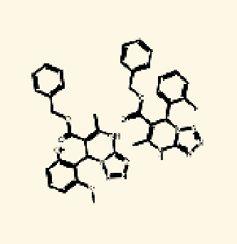 CC1=C(C(=O)OCc2ccccc2)C(c2ccccc2F)n2nnnc2N1.COc1cccc(O)c1C1C(C(=O)OCc2ccccc2)=C(C)Nc2nnnn21